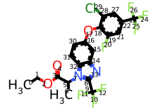 CCOC(=O)C(C)n1c(C(F)(F)F)nc2cc(Oc3c(F)cc(C(F)(F)F)cc3Cl)ccc21